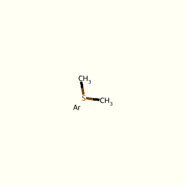 CSC.[Ar]